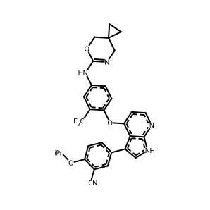 CC(C)Oc1ccc(-c2c[nH]c3nccc(Oc4ccc(NC5=NCC6(CC6)CO5)cc4C(F)(F)F)c23)cc1C#N